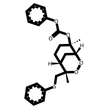 C[C@]1(CSc2ccccc2)OO[C@@H]2C[C@H]1CC[C@@]2(C)OC(=O)Oc1ccccc1